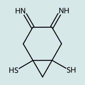 N=C1CC2(S)CC2(S)CC1=N